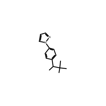 CC(c1ccc(-n2cccn2)cc1)C(C)(C)C